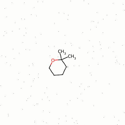 CC1(C)[C]CCCO1